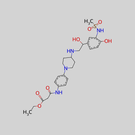 CCOC(=O)CC(=O)Nc1ccc(N2CCC(NCC(O)c3ccc(O)c(NS(C)(=O)=O)c3)CC2)cc1